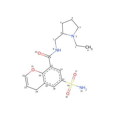 CCN1CCCC1CNC(=O)c1cc(S(N)(=O)=O)cc2c1OC=CC2